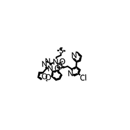 COc1cccc(OC)c1-n1c(-c2ccco2)nnc1N(CCS(C)(C)C)S(=O)(=O)CCc1ncc(Cl)cc1-c1cccnc1